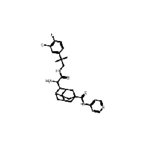 CC(C)(CNC(=O)C(N)C1C2CC3CC1CC(C(=O)Nc1ccncc1)(C3)C2)c1ccc(F)c(Cl)c1